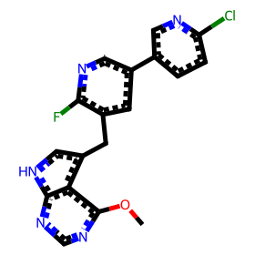 COc1ncnc2[nH]cc(Cc3cc(-c4ccc(Cl)nc4)[c]nc3F)c12